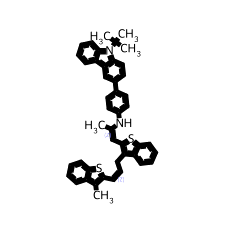 C/C(=C/c1sc2ccccc2c1C/C=C\c1sc2ccccc2c1C)Nc1ccc(-c2ccc3c(c2)c2ccccc2n3C(C)(C)C)cc1